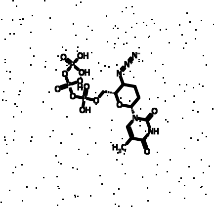 Cc1cn([C@H]2CCC(N=[N+]=[N-])[C@@H](COP(=O)(O)OP(=O)(O)OP(=O)(O)O)O2)c(=O)[nH]c1=O